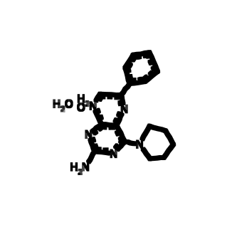 Nc1nc(N2CCCCC2)c2nc(-c3ccccc3)cnc2n1.O.O